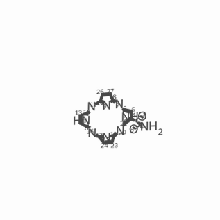 NS(=O)(=O)c1cc2nc3nc(nc4ccc(nc5nc(nc1[nH]2)C=C5)[nH]4)C=C3